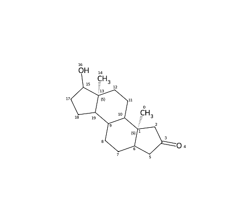 C[C@]12CC(=O)CC1CCC1C2CC[C@]2(C)C(O)CCC12